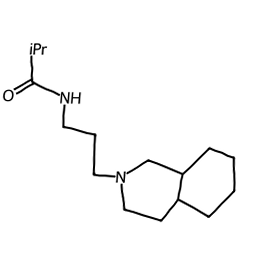 CC(C)C(=O)NCCCN1CCC2CCCCC2C1